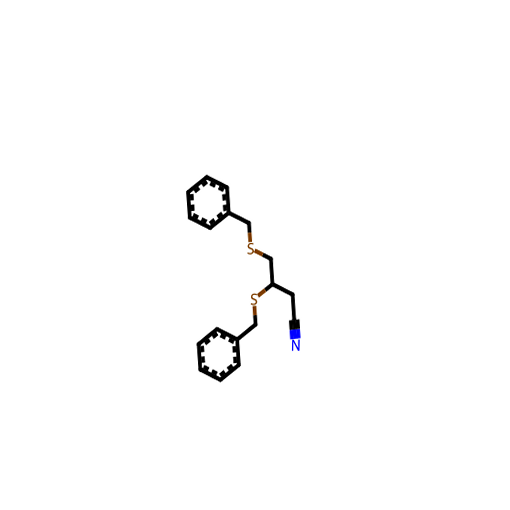 N#CCC(CSCc1ccccc1)SCc1ccccc1